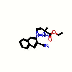 CCOC(=O)C1(C)C=CN(c2cc3ccccc3cc2C#N)N1